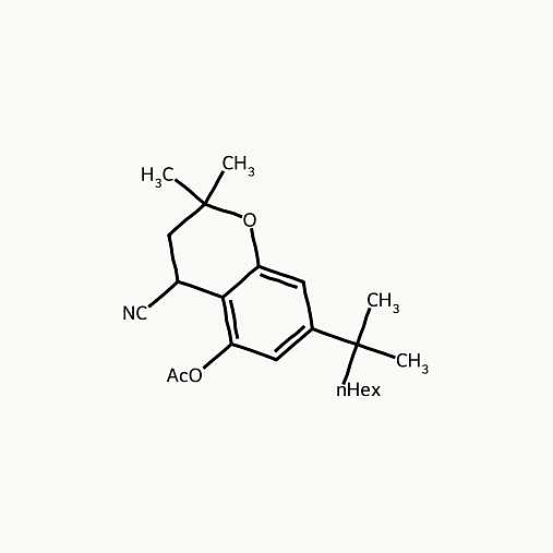 CCCCCCC(C)(C)c1cc(OC(C)=O)c2c(c1)OC(C)(C)CC2C#N